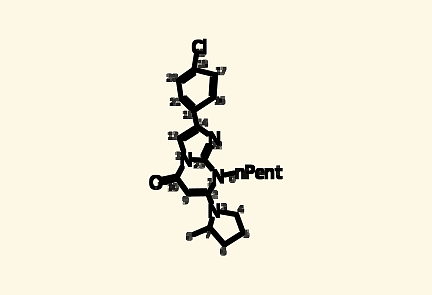 CCCCCn1c(N2CCCC2C)cc(=O)n2cc(-c3ccc(Cl)cc3)nc12